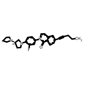 CCCC#Cc1ccc2c(=O)n(-c3ccc(N4CC[C@@H](N5CCCC5)C4)c(F)c3)ccc2c1